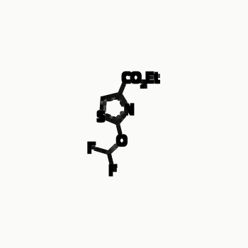 CCOC(=O)c1csc(OC(F)F)n1